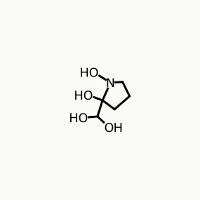 OC(O)C1(O)CCCN1O